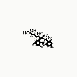 Cc1cc(C)c(C(=O)P(C(=O)c2c(C)cc(C)cc2C)C(CCCCCC(O)O)C(=O)O)c(C)c1